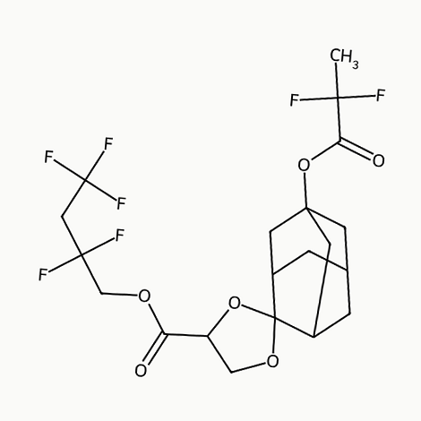 CC(F)(F)C(=O)OC12CC3CC(C1)C1(OCC(C(=O)OCC(F)(F)CC(F)(F)F)O1)C(C3)C2